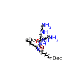 CCCCCCCCCCCCCCCCCN(CCCCCCCCCCCCCCCCC)C(=O)CNC(=O)C(CCCNCCCN)NCCCN